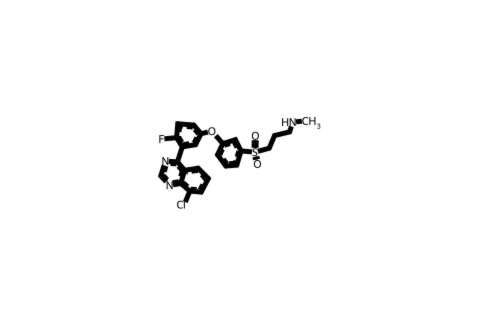 CNCCCS(=O)(=O)c1cccc(Oc2ccc(F)c(-c3ncnc4c(Cl)cccc34)c2)c1